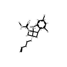 C=CCCC[C@@]12CC3c4c(C)cc(C)cc4NC31N(C(=O)OC)C2